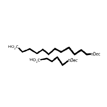 CCCCCCCCCCCCCCC(=O)O.CCCCCCCCCCCCCCCCCCCCCC(=O)O